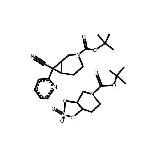 CC(C)(C)OC(=O)N1CCC2C(C1)C2(C#N)c1ccccn1.CC(C)(C)OC(=O)N1CCC2OS(=O)(=O)OC2C1